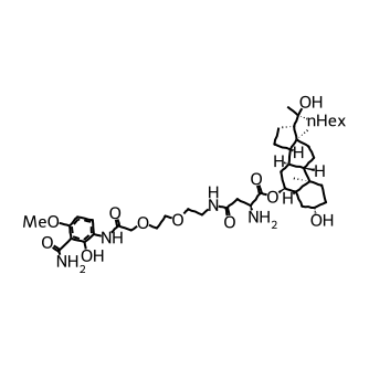 CCCCCC[C@](C)(O)[C@H]1CC[C@H]2[C@@H]3C[C@H](OC(=O)[C@@H](N)CC(=O)NCCOCCOCC(=O)Nc4ccc(OC)c(C(N)=O)c4O)[C@H]4C[C@@H](O)CC[C@]4(C)[C@H]3CC[C@@]21C